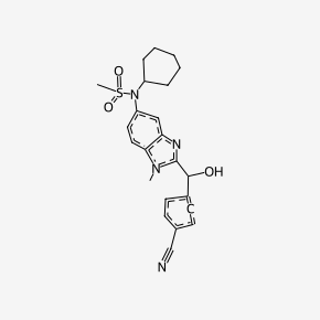 Cn1c(C(O)c2ccc(C#N)cc2)nc2cc(N(C3CCCCC3)S(C)(=O)=O)ccc21